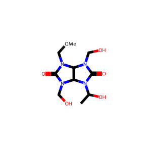 COCN1C(=O)N(CO)C2C1N(CO)C(=O)N2C(C)O